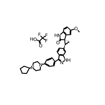 COc1ccc2c(c1)[C@]1(C[C@H]1c1ccc3c(-c4ccc(N5CCN(C6CCCC6)CC5)cc4)n[nH]c3c1)C(=O)N2.O=C(O)C(F)(F)F